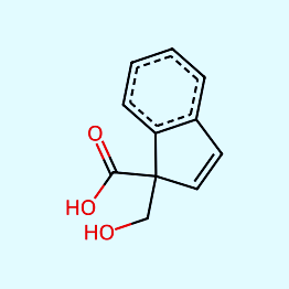 O=C(O)C1(CO)C=Cc2ccccc21